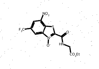 CCOC(=O)CNC(=O)c1sc2c([N+](=O)[O-])cc(C(F)(F)F)cc2[n+]1[O-]